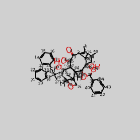 CC1=C2C(=O)[C@H](O)[C@]3(C)[C@@H](O[Si](c4ccccc4)(c4ccccc4)C(C)(C)C)C[C@H]4OC[C@@]4(C)[C@H]3[C@H](OC(=O)c3ccccc3)[C@](O)(C[C@@H]1C)C2(C)C